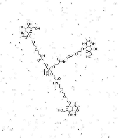 CC(=O)N[C@H]1[C@H](OCCOCCOCCNC(=O)CCOCC(COCCC(=O)NCCOCCOCCO[C@@H]2O[C@H](CO)[C@H](O)[C@H](O)[C@H]2NC(C)=O)(COCCC(=O)NCCOCCOCCO[C@@H]2O[C@H](CO)[C@H](O)[C@H](O)[C@H]2NC(C)=O)NC(C)(C)C)O[C@H](CO)[C@H](O)[C@@H]1O